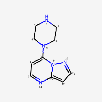 c1cc(N2CCNCC2)n2nccc2n1